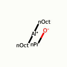 CCCCCCC[CH2][Al+][CH2]CCCCCCC.CCC[O-]